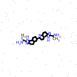 CC(N)c1nc2ccc3cc(-c4ccc5c(ccc6nc(C(C)N)[nH]c65)n4)ccc3c2[nH]1